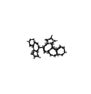 Cn1nc2c(-c3cc4ccccc4c4[nH]nnc34)cc3ccc4ccccc4c3c2n1